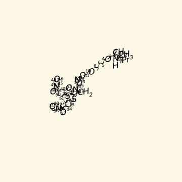 C=C(COCCCCCOCCOc1ccc(N2C(=C)C(Sc3ccc(C(=O)N4CCOCC4)cc3)=C(Sc3ccc(C(=O)N4CCOCC4)cc3)C2=O)cn1)NC(C)C(C)C